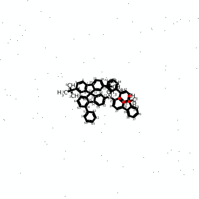 CC(C)(C)c1ccc2c(c1)C1(c3cc(C(C)(C)C)ccc3-2)c2cc(N(c3ccc4c(c3)C(C)(C)c3ccccc3-4)c3ccccc3-c3ccccc3)ccc2-c2c(-c3ccccc3)cccc21